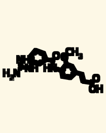 COc1cc(C=CC(=O)O)ccc1NC(=O)c1cccc(NC(=N)N)c1